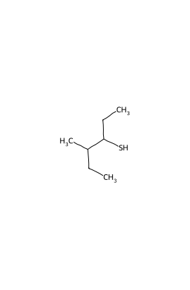 CCC(C)C(S)CC